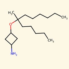 CCCCCCC(C)(CCCCC)OC1CC(N)C1